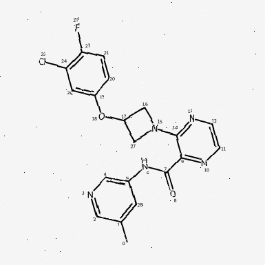 Cc1cncc(NC(=O)c2nccnc2N2CC(Oc3ccc(F)c(Cl)c3)C2)c1